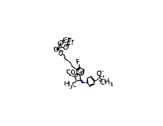 CCOP(=O)(OCC)OCCCCc1c(F)ccc2c1C(CC(=O)O)=C(C)/C2=C/c1ccc([S+](C)[O-])cc1